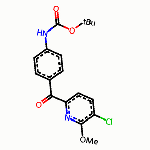 COc1nc(C(=O)c2ccc(NC(=O)OC(C)(C)C)cc2)ccc1Cl